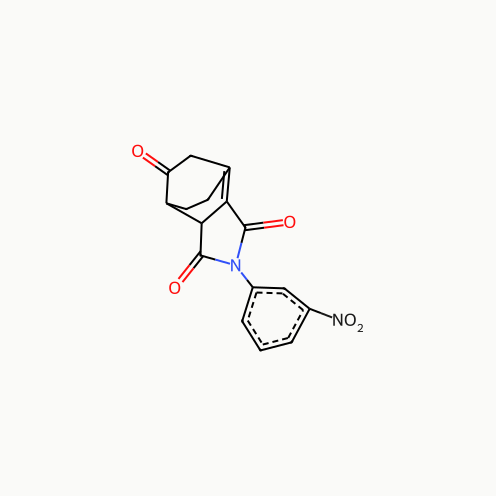 O=C1CC2=C3C(=O)N(c4cccc([N+](=O)[O-])c4)C(=O)C3C1CC2